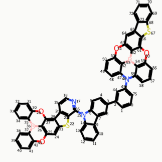 c1cc(-c2ccc3c(c2)c2ccccc2n3-c2nccc3c2sc2cc4c5c(c23)Oc2ccccc2B5c2ccccc2O4)cc(N2c3cccc4c3B3c5c(cccc52)Oc2c3c(cc3c2sc2ccccc23)O4)c1